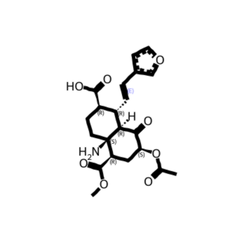 COC(=O)[C@@H]1C[C@H](OC(C)=O)C(=O)[C@@H]2[C@@H](/C=C/c3ccoc3)[C@H](C(=O)O)CC[C@]21N